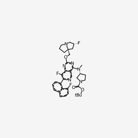 CN(c1nc(OC[C@@]23CCCN2C[C@H](F)C3)nc2c(F)c(-c3cccc4cccc(F)c34)ncc12)[C@@H]1CCN(C(=O)OC(C)(C)C)C1